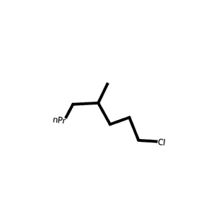 CCCCC(C)CCCCl